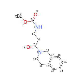 CC(C)(C)OC(=O)NCCC(=O)N1CCc2ccccc2C1